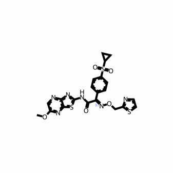 COc1cnc2nc(NC(=O)/C(=N/OCc3nccs3)c3ccc(S(=O)(=O)C4CC4)cc3)sc2n1